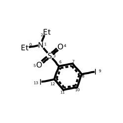 CCN(CC)S(=O)(=O)c1cc(I)ccc1I